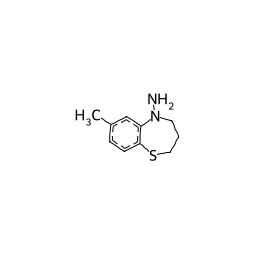 Cc1ccc2c(c1)N(N)CCCS2